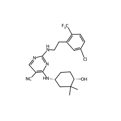 CC1(C)C[C@H](Nc2nc(NCCc3cc(Cl)ccc3C(F)(F)F)ncc2C#N)CC[C@@H]1O